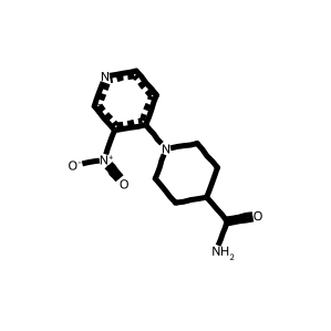 NC(=O)C1CCN(c2ccncc2[N+](=O)[O-])CC1